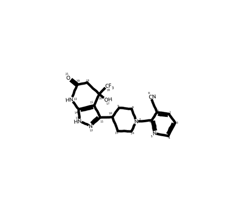 N#Cc1cccnc1N1CCC(c2n[nH]c3c2C(O)(C(F)(F)F)CC(=O)N3)CC1